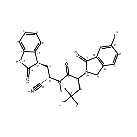 CN(C(=O)[C@H](CC(C)(C)F)N1Cc2ccc(Cl)cc2C1=O)[C@H](C#N)C[C@H]1C(=O)Nc2ccccc21